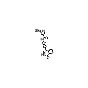 CC(C)(C)n1cc(C(=O)NC2CC3(C2)CC(c2n[nH]c(=O)c4ccccc24)C3)cn1